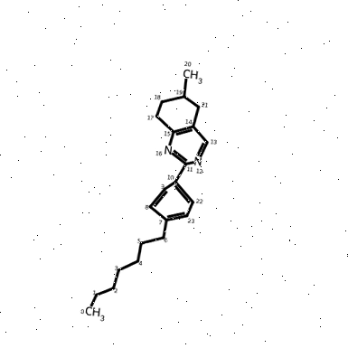 CCCCCCCc1ccc(-c2ncc3c(n2)CCC(C)C3)cc1